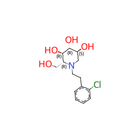 OC[C@@H]1[C@@H](O)[C@H](O)[C@@H](O)CN1CCc1ccccc1Cl